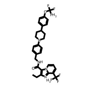 CCc1nc2c(C(F)(F)P)cccn2c1C(=O)NCc1ccc(N2CCC(c3ccc(OC(F)(F)P)cc3)CC2)cc1